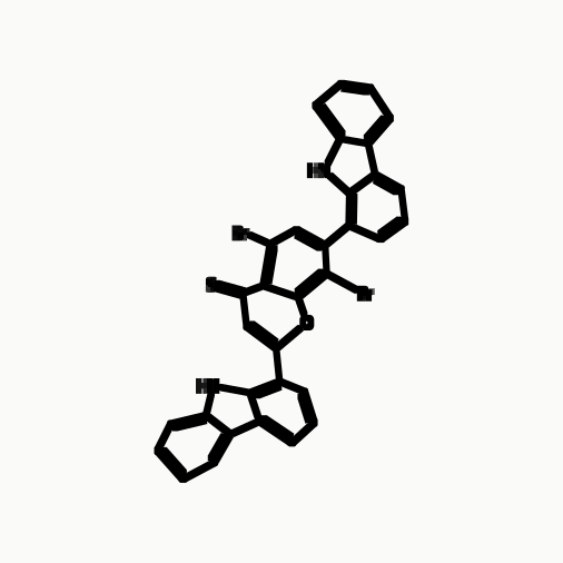 S=c1cc(-c2cccc3c2[nH]c2ccccc23)oc2c(Br)c(-c3cccc4c3[nH]c3ccccc34)cc(Br)c12